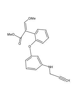 C#CCNc1cccc(Oc2ccccc2/C(=C\OC)C(=O)OC)c1